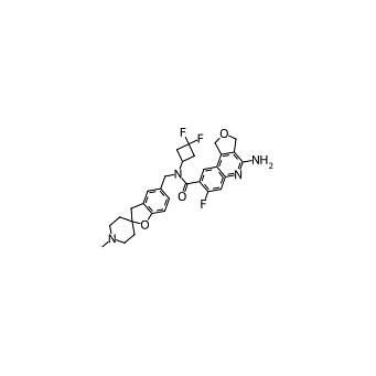 CN1CCC2(CC1)Cc1cc(CN(C(=O)c3cc4c5c(c(N)nc4cc3F)COC5)C3CC(F)(F)C3)ccc1O2